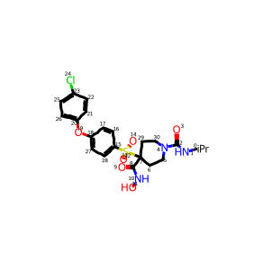 CC(C)NC(=O)N1CCC(C(=O)NO)(S(=O)(=O)c2ccc(Oc3ccc(Cl)cc3)cc2)CC1